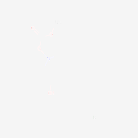 CC(C)(C)OC(=O)ON1CCC(c2ccc(Br)cc2)C(O)C1